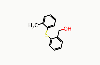 Cc1ccccc1Sc1ccccc1CO